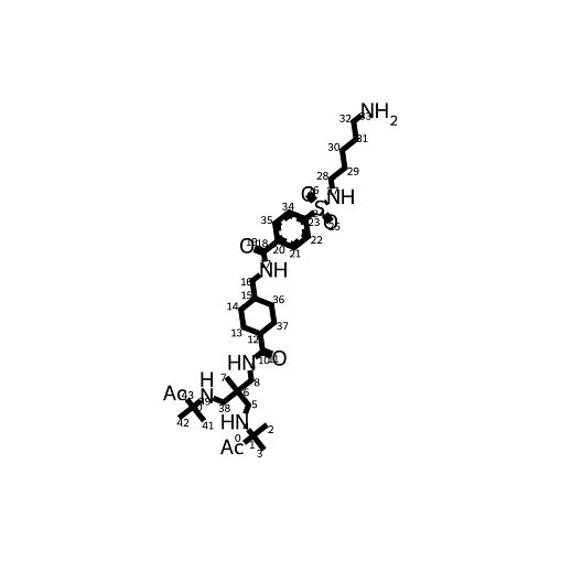 CC(=O)C(C)(C)NCC(C)(CNC(=O)C1CCC(CNC(=O)c2ccc(S(=O)(=O)NCCCCCN)cc2)CC1)CNC(C)(C)C(C)=O